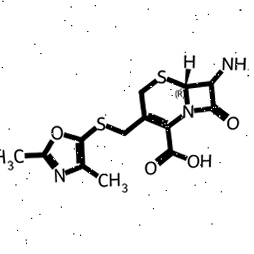 Cc1nc(C)c(SCC2=C(C(=O)O)N3C(=O)C(N)[C@H]3SC2)o1